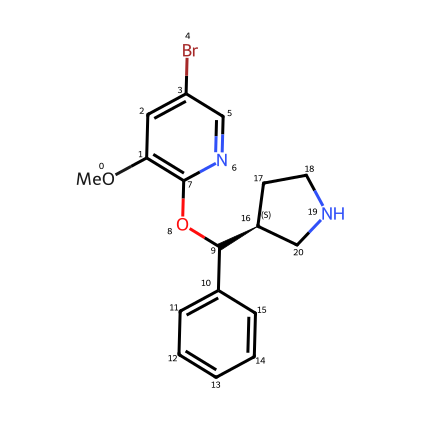 COc1cc(Br)cnc1OC(c1ccccc1)[C@H]1CCNC1